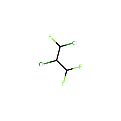 FC(F)C(Cl)C(F)Cl